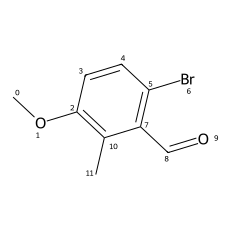 COc1ccc(Br)c(C=O)c1C